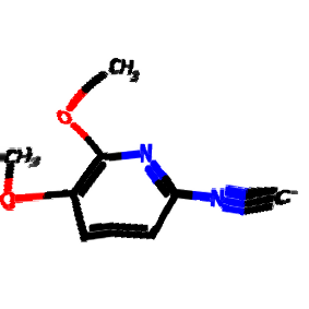 [C-]#[N+]c1ccc(OC)c(OC)n1